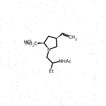 C=C[C@@H]1C[C@H](C(=O)O)N(CC(CC)NC(C)=O)C1.Cl